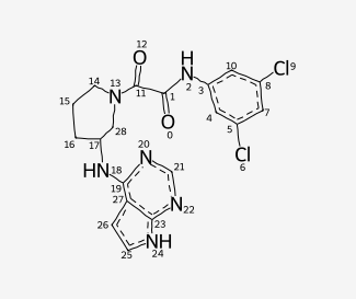 O=C(Nc1cc(Cl)cc(Cl)c1)C(=O)N1CCCC(Nc2ncnc3[nH]ccc23)C1